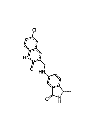 C[C@@H]1NC(=O)c2cc(NCc3cc4cc(Cl)ccc4[nH]c3=O)ccc21